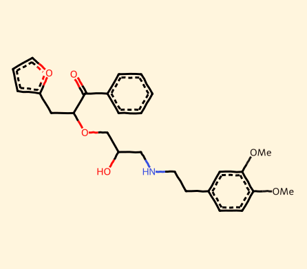 COc1ccc(CCNCC(O)COC(Cc2ccco2)C(=O)c2ccccc2)cc1OC